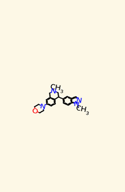 CN1Cc2cc(N3CCOCC3)ccc2C(c2ccc3c(cnn3C)c2)C1